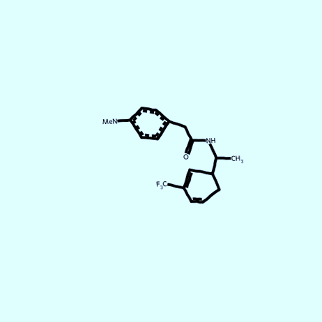 CNc1ccc(CC(=O)NC(C)C2C=C(C(F)(F)F)C=CC2)cc1